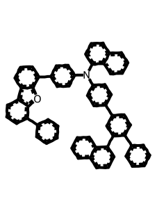 c1ccc(-c2ccc(-c3ccc(N(c4ccc(-c5cccc6c5oc5c(-c7ccccc7)cccc56)cc4)c4cccc5ccccc45)cc3)cc2-c2cccc3ccccc23)cc1